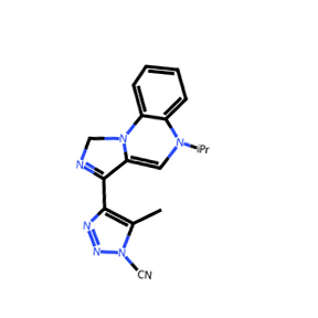 Cc1c(C2=NCN3C2=CN(C(C)C)c2ccccc23)nnn1C#N